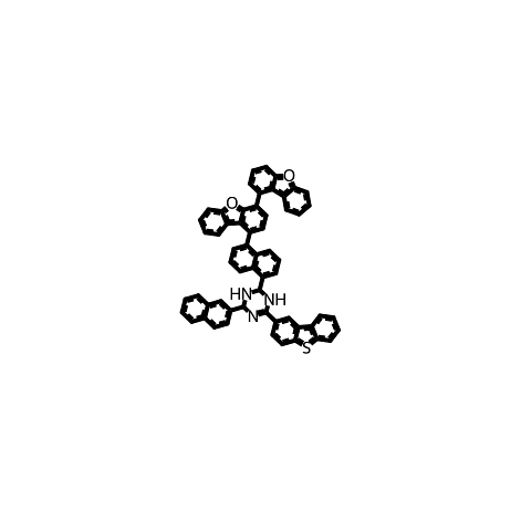 c1ccc2cc(C3N=C(c4ccc5sc6ccccc6c5c4)NC(c4cccc5c(-c6ccc(-c7cccc8oc9ccccc9c78)c7oc8ccccc8c67)cccc45)N3)ccc2c1